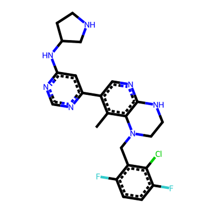 Cc1c(-c2cc(NC3CCNC3)ncn2)cnc2c1N(Cc1c(F)ccc(F)c1Cl)CCN2